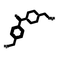 NCc1ccc(C(=O)N2CCN(CC(=O)O)CC2)cc1